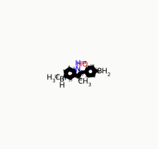 Bc1ccc(-c2[nH]c3ccc(BC)cc3c2C)c(O)c1